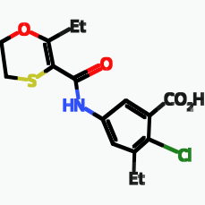 CCC1=C(C(=O)Nc2cc(CC)c(Cl)c(C(=O)O)c2)SCCO1